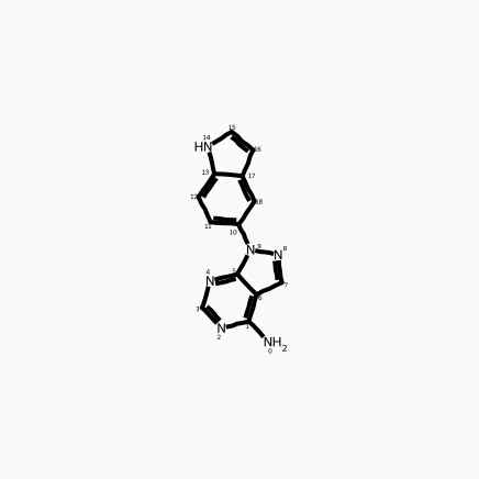 Nc1ncnc2c1cnn2-c1ccc2[nH]ccc2c1